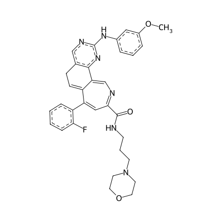 COc1cccc(Nc2ncc3c(n2)C2=CN=C(C(=O)NCCCN4CCOCC4)C=C(c4ccccc4F)C2=CC3)c1